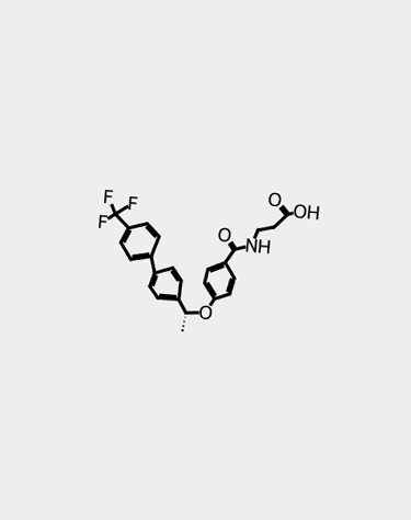 C[C@@H](Oc1ccc(C(=O)NCCC(=O)O)cc1)c1ccc(-c2ccc(C(F)(F)F)cc2)cc1